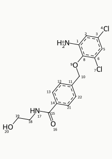 Nc1cc(Cl)cc(Cl)c1OCc1ccc(C(=O)NCCO)cc1